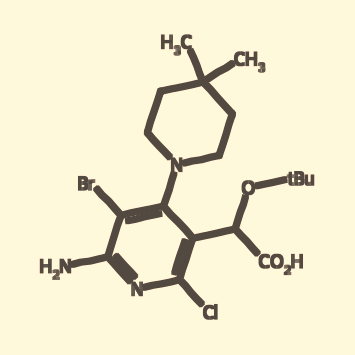 CC1(C)CCN(c2c(Br)c(N)nc(Cl)c2C(OC(C)(C)C)C(=O)O)CC1